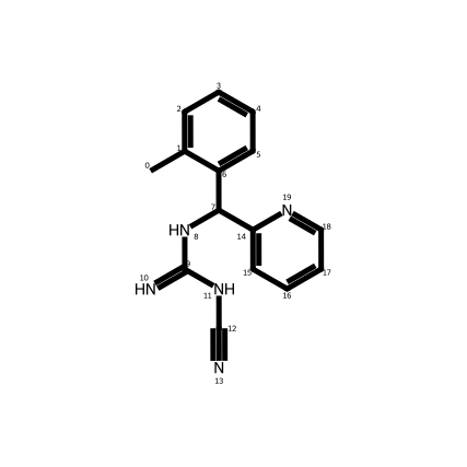 Cc1ccccc1C(NC(=N)NC#N)c1ccccn1